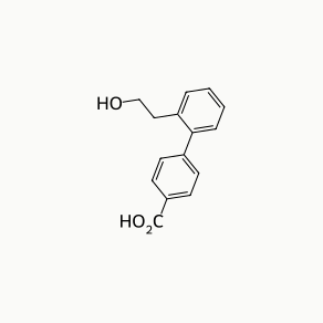 O=C(O)c1ccc(-c2ccccc2CCO)cc1